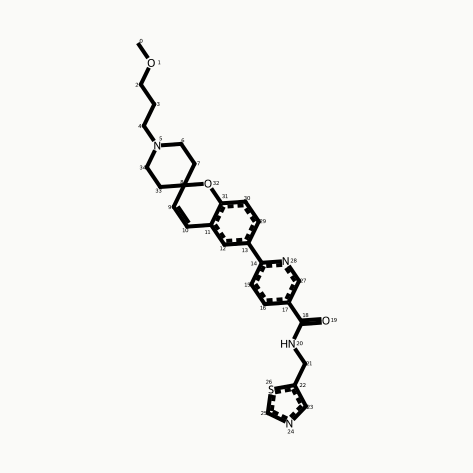 COCCCN1CCC2(C=Cc3cc(-c4ccc(C(=O)NCc5cncs5)cn4)ccc3O2)CC1